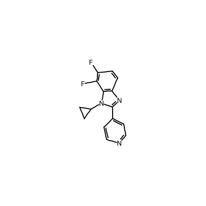 Fc1ccc2nc(-c3ccncc3)n(C3CC3)c2c1F